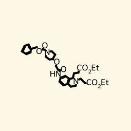 CCOC(=O)CCC1c2cc(NC(=O)COC3CCN(C(=O)OCc4ccccc4)CC3)ccc2CCN1CCC(=O)OCC